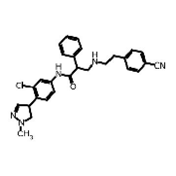 CN1CC(c2ccc(NC(=O)C(CNCCc3ccc(C#N)cc3)c3ccccc3)cc2Cl)C=N1